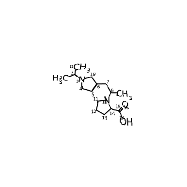 CC(C)N1CCC(CC(C)N2CCCC2C(=O)O)C1